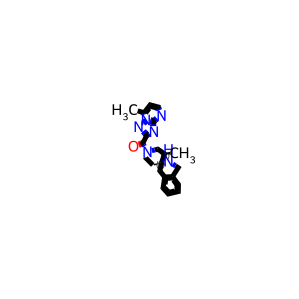 Cc1ccnc2nc(C(=O)N3CC[C@]4(Cc5ccccc5CN4)[C@H](C)C3)nn12